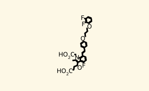 Cc1c(C(=O)CCC(=O)O)c2c(F)ccc(C=Cc3ccc(OCCCCOc4cccc(F)c4F)cc3)c2n1CC(=O)O